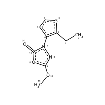 CCc1sccc1-n1nc(OC)oc1=O